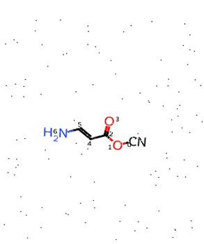 N#COC(=O)C=CN